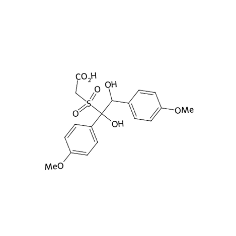 COc1ccc(C(O)C(O)(c2ccc(OC)cc2)S(=O)(=O)CC(=O)O)cc1